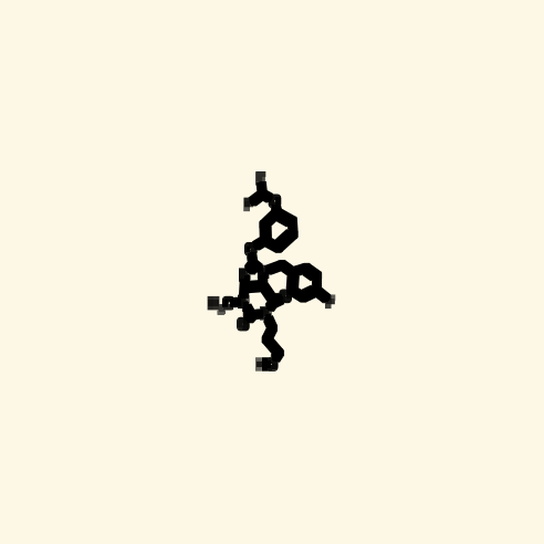 Cn1c(=O)n(CCCO)c(=O)c2c1nc(Oc1cccc(OC(F)F)c1)n2Cc1ccc(F)cc1